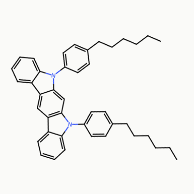 CCCCCCc1ccc(-n2c3ccccc3c3cc4c5ccccc5n(-c5ccc(CCCCCC)cc5)c4cc32)cc1